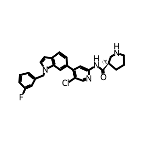 O=C(Nc1cc(-c2ccc3ccn(Cc4cccc(F)c4)c3c2)c(Cl)cn1)[C@@H]1CCCNC1